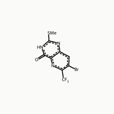 CSc1nc2cc(Br)c(C(F)(F)F)nc2c(=O)[nH]1